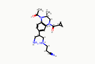 CC(=O)N1c2ccc(C(CN)CNCCC#N)cc2N(C(=O)C2CC2)C[C@@H]1C